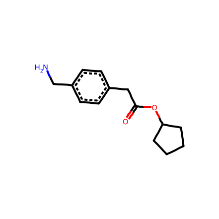 NCc1ccc(CC(=O)OC2CCCC2)cc1